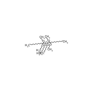 CCCCCCCCCCC(OCCCC)=C(OCCCC)C(OCCCCCCC)OC(OCCCCCCC)C(OCCCC)=C(CCCCCCCCCC)OCCCC